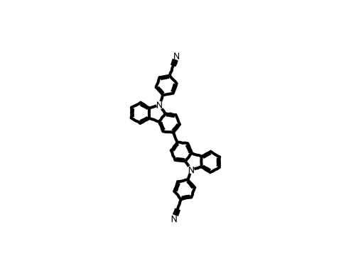 N#Cc1ccc(-n2c3ccccc3c3cc(-c4ccc5c(c4)c4ccccc4n5-c4ccc(C#N)cc4)ccc32)cc1